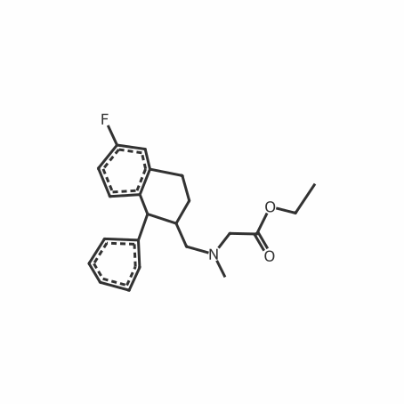 CCOC(=O)CN(C)CC1CCc2cc(F)ccc2C1c1ccccc1